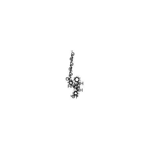 COCCOCCOCCOCCOCCC(=O)N1C=CC(Nc2nc(Nc3ccc(OC)c(F)c3)nc(NC3CCCCCC3)n2)CC1